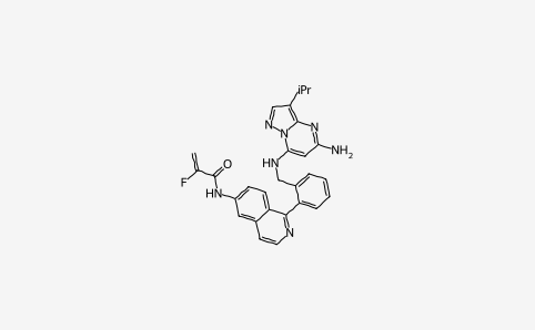 C=C(F)C(=O)Nc1ccc2c(-c3ccccc3CNc3cc(N)nc4c(C(C)C)cnn34)nccc2c1